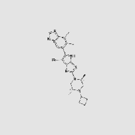 Cc1c(-c2[nH]c3sc(N4C[C@@H](C)N(C5CCC5)C[C@@H]4C)nc3c2C(C)C)cn2ncnc2c1C